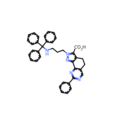 O=C(O)c1c2c(nn1CCCNC(c1ccccc1)(c1ccccc1)c1ccccc1)-c1nc(-c3ccccc3)ncc1CC2